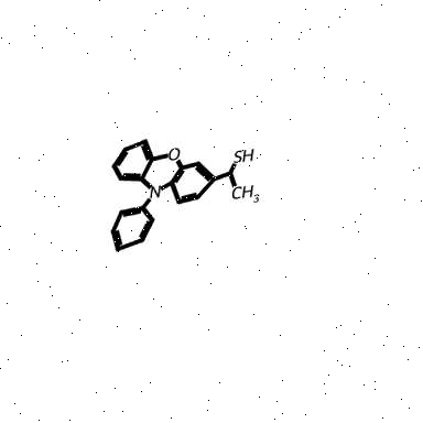 CC(S)c1ccc2c(c1)Oc1ccccc1N2c1ccccc1